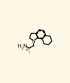 C[C@H](N)CN1CCc2ccc3c(c21)CCCC3